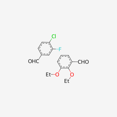 CCOc1cccc(C=O)c1OCC.O=Cc1ccc(Cl)c(F)c1